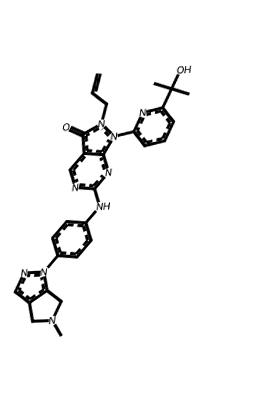 C=CCn1c(=O)c2cnc(Nc3ccc(-n4ncc5c4CN(C)C5)cc3)nc2n1-c1cccc(C(C)(C)O)n1